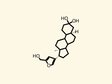 C[C@]12CCC3C(CC[C@@H]4CC(O)(O)CCC34)C1CC[C@@H]2c1coc(CO)c1